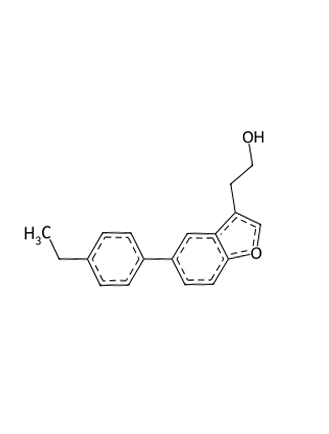 CCc1ccc(-c2ccc3occ(CCO)c3c2)cc1